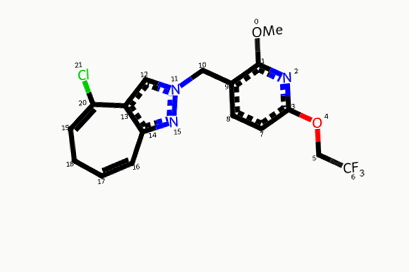 COc1nc(OCC(F)(F)F)ccc1Cn1cc2c(n1)C=CCC=C2Cl